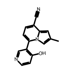 Cc1cc2c(C#N)ccc(-c3cnccc3O)n2c1